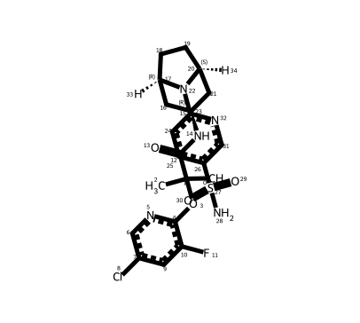 CC(C)(Oc1ncc(Cl)cc1F)C(=O)N[C@H]1C[C@H]2CC[C@@H](C1)N2c1ccc(S(N)(=O)=O)cn1